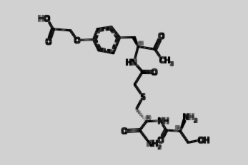 CC(=O)[C@H](Cc1ccc(OCC(=O)O)cc1)NC(=O)CSC[C@H](NC(=O)[C@@H](N)CO)C(N)=O